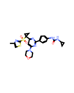 Cc1csc(S(=O)(=O)C2(c3cc(N4CCOCC4)nc(-c4ccc(NC(=O)NC5CC5)cc4)n3)CC2)n1